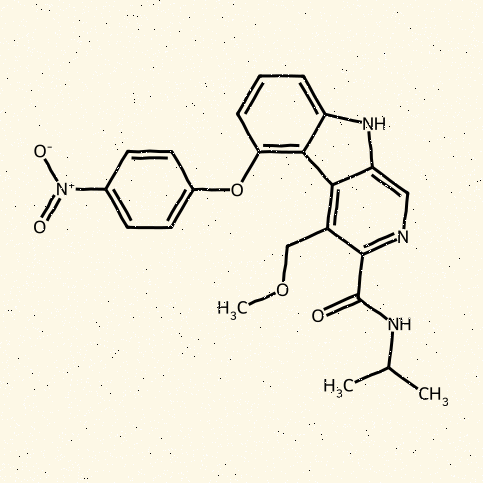 COCc1c(C(=O)NC(C)C)ncc2[nH]c3cccc(Oc4ccc([N+](=O)[O-])cc4)c3c12